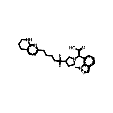 Cn1ncc2cccc(C(C(=O)O)N3CCC(C(F)(F)CCCCc4ccc5c(n4)NCCC5)C3)c21